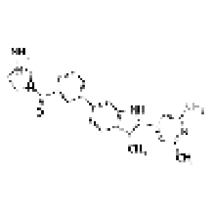 Cc1cc(-c2[nH]c3cc(-c4cccc(C(=O)N5CC[C@H](N)C5)c4)ccc3c2C)cc(C)n1